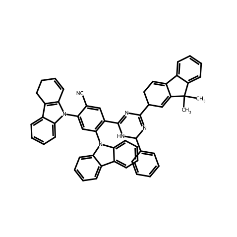 CC1(C)C2=CC(C3=NC(c4ccccc4)NC(c4cc(C#N)c(-n5c6c(c7ccccc75)CCC=C6)cc4-n4c5ccccc5c5ccccc54)=N3)CC=C2c2ccccc21